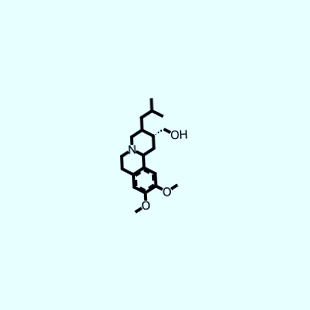 COc1cc2c(cc1OC)C1C[C@@H](CO)C(CC(C)C)CN1CC2